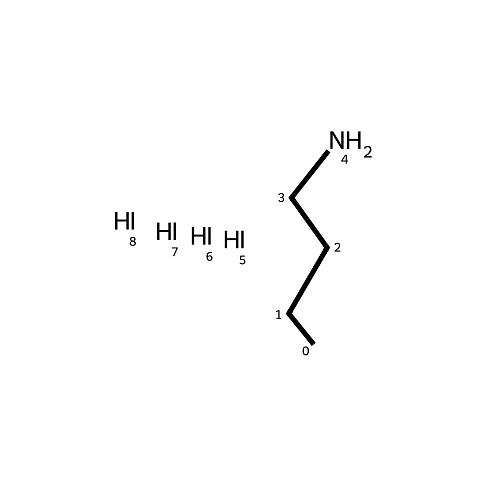 CCCCN.I.I.I.I